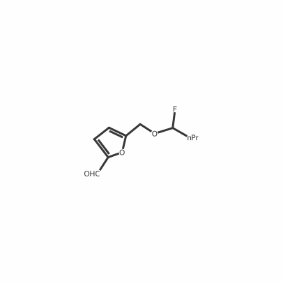 CCCC(F)OCc1ccc(C=O)o1